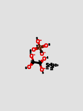 O=C([O-])C(=O)[O-].O=S(=O)([O-])[O-].[Sr+2].[Sr+2]